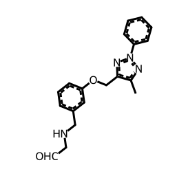 Cc1nn(-c2ccccc2)nc1COc1cccc(CNCC=O)c1